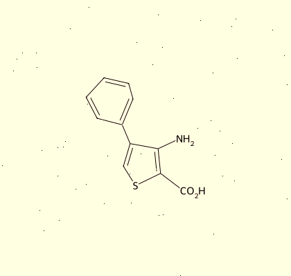 Nc1c(-c2ccccc2)csc1C(=O)O